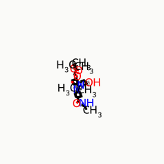 CCCNC(=O)c1ccc(N(C)[C@](C)(c2cccc(OCC(=O)OC(C)(C)C)c2)N2CC[C@H](O)C2)cc1